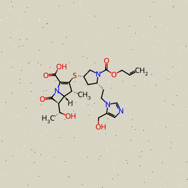 C=CCOC(=O)N1C[C@@H](SC2=C(C(=O)O)N3C(=O)[C@H]([C@@H](C)O)[C@H]3[C@H]2C)C[C@H]1CCn1cncc1CO